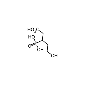 O=C(O)CC(CCO)P(=O)(O)O